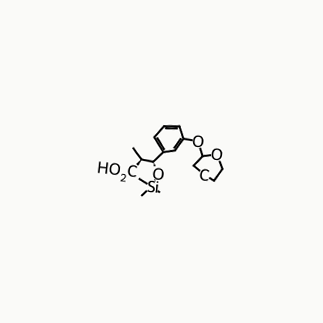 C[C@H](C(=O)O)[C@@H](O[Si](C)(C)C)c1cccc(OC2CCCCO2)c1